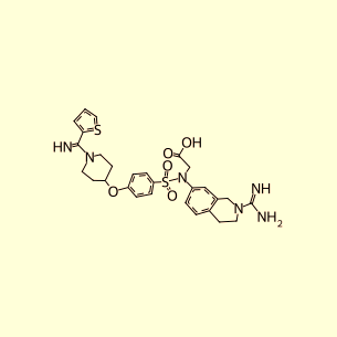 N=C(N)N1CCc2ccc(N(CC(=O)O)S(=O)(=O)c3ccc(OC4CCN(C(=N)c5cccs5)CC4)cc3)cc2C1